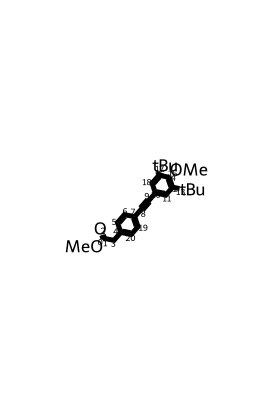 COC(=O)Cc1ccc(C#Cc2cc(C(C)(C)C)c(OC)c(C(C)(C)C)c2)cc1